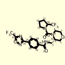 O=C(NC[C@H]1COCCN1C(=O)N1CCCC1C(F)(F)F)c1ccc(-c2noc(C(F)(F)F)n2)cc1